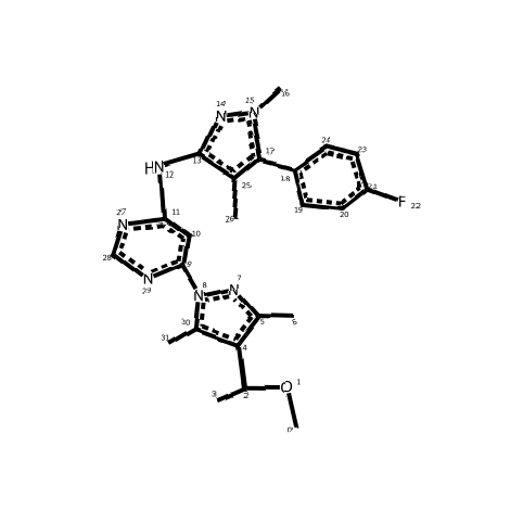 COC(C)c1c(C)nn(-c2cc(Nc3nn(C)c(-c4ccc(F)cc4)c3C)ncn2)c1C